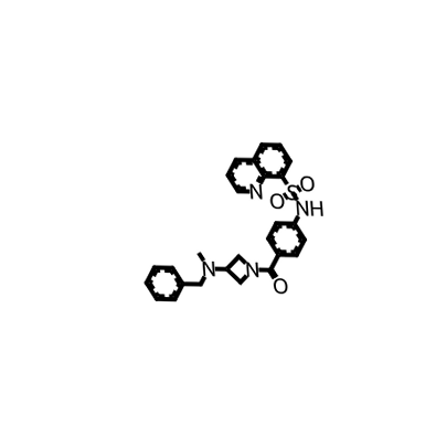 CN(Cc1ccccc1)C1CN(C(=O)c2ccc(NS(=O)(=O)c3cccc4cccnc34)cc2)C1